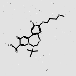 COCCCOc1cc2c(cc1Br)-c1cc(=O)c(C(=O)O)cn1[C@H](C(C)(C)C)CO2